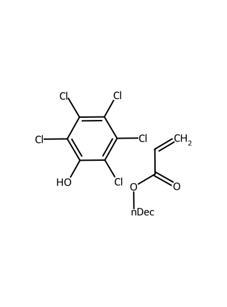 C=CC(=O)OCCCCCCCCCC.Oc1c(Cl)c(Cl)c(Cl)c(Cl)c1Cl